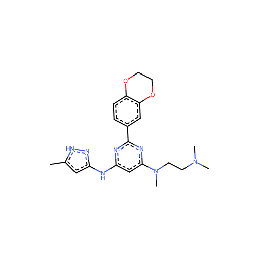 Cc1cc(Nc2cc(N(C)CCN(C)C)nc(-c3ccc4c(c3)OCCO4)n2)n[nH]1